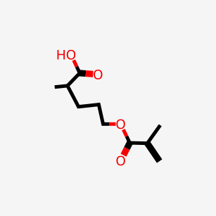 C=C(C)C(=O)OCCCC(C)C(=O)O